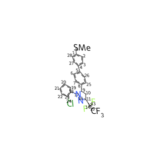 CSc1ccc(-c2ccc(C3CC(C(F)(F)C(F)(F)F)=NN3c3ccccc3Cl)cc2)cc1